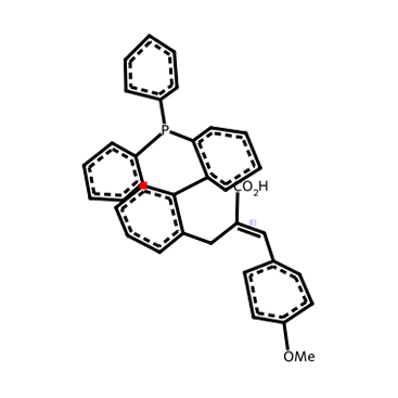 COc1ccc(/C=C(\Cc2ccccc2-c2ccccc2P(c2ccccc2)c2ccccc2)C(=O)O)cc1